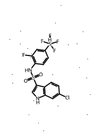 O=S(=O)(Nc1ccc([SH](F)(F)(F)F)cc1F)c1c[nH]c2cc(Cl)ccc12